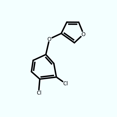 Clc1ccc(Oc2ccoc2)cc1Cl